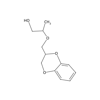 CC(CO)OCC1COc2ccccc2O1